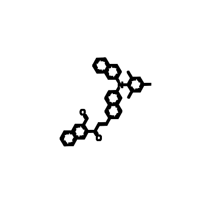 Cc1cc(C)c(N(c2ccc3ccccc3c2)c2ccc3cc(C=CC(=O)c4cc5ccccc5cc4C=O)ccc3c2)c(C)c1